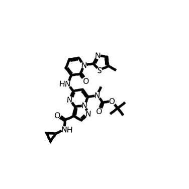 Cc1cnc(-n2cccc(Nc3cc(N(C)C(=O)OC(C)(C)C)n4ncc(C(=O)NC5CC5)c4n3)c2=O)s1